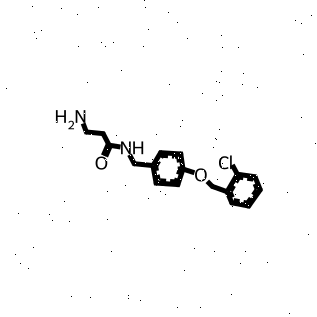 NCCC(=O)NCc1ccc(OCc2ccccc2Cl)cc1